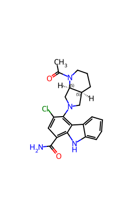 CC(=O)N1CCC[C@H]2CN(c3c(Cl)cc(C(N)=O)c4[nH]c5ccccc5c34)C[C@H]21